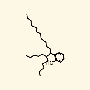 CCCCCCCCCCCC(c1ccccc1O)C(CCCCC)CCCCC